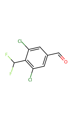 O=Cc1cc(Cl)c(C(F)F)c(Cl)c1